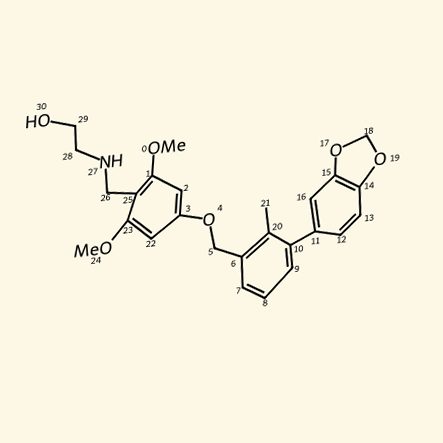 COc1cc(OCc2cccc(-c3ccc4c(c3)OCO4)c2C)cc(OC)c1CNCCO